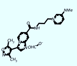 CNc1ccc[n+](CCCNC(=O)c2ccn3c(-c4c(C)noc4C)cnc3c2)c1.O=C[O-]